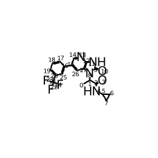 CC(C(=O)NC1CC1)n1c(=O)[nH]c2ncc(-c3cccc(C(F)(F)F)c3)cc21